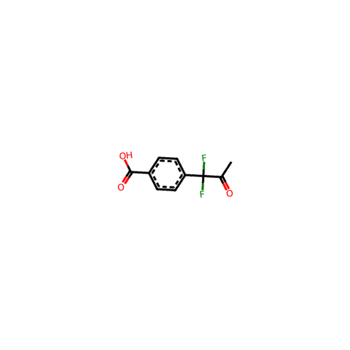 CC(=O)C(F)(F)c1ccc(C(=O)O)cc1